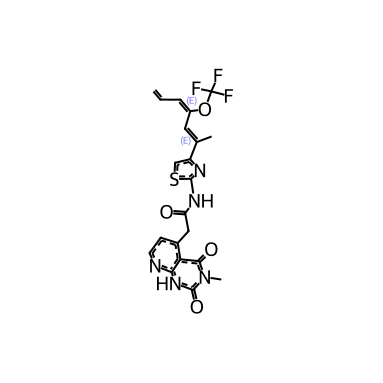 C=C/C=C(\C=C(/C)c1csc(NC(=O)Cc2ccnc3[nH]c(=O)n(C)c(=O)c23)n1)OC(F)(F)F